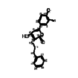 Cc1cc(-c2cc(O)c(SCCc3ccccc3)c(=O)o2)ccc1[O]